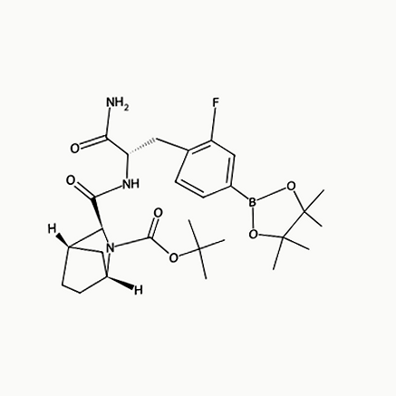 CC(C)(C)OC(=O)N1[C@@H]2CC[C@@H](C2)[C@H]1C(=O)N[C@@H](Cc1ccc(B2OC(C)(C)C(C)(C)O2)cc1F)C(N)=O